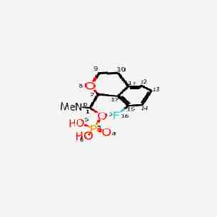 CNC(OP(=O)(O)O)C1OCCc2cccc(F)c21